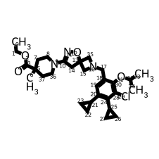 CCOC(=O)C1(C)CCN(C2=NOC3(C2)CN(Cc2cc(C4CC4)c(C4CC4)c(Cl)c2OC(C)C)C3)CC1